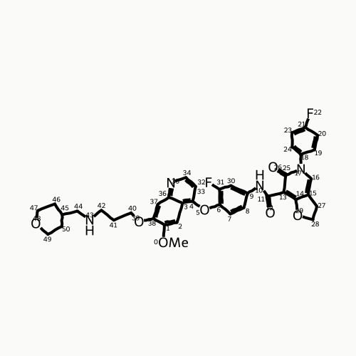 COc1cc2c(Oc3ccc(NC(=O)c4c5c(cn(-c6ccc(F)cc6)c4=O)CCO5)cc3F)ccnc2cc1OCCCNCC1CCOCC1